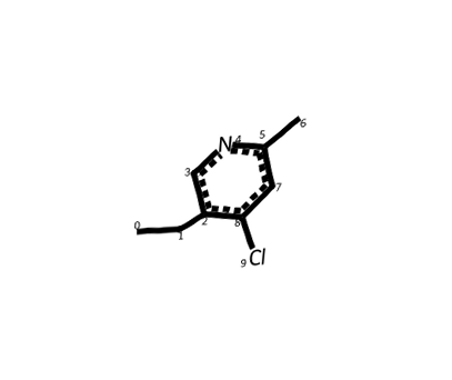 CCc1cnc(C)cc1Cl